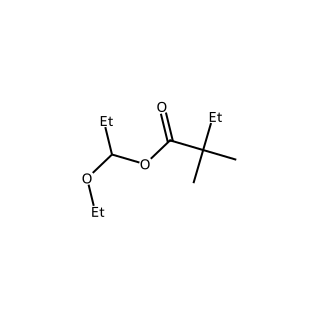 CCOC(CC)OC(=O)C(C)(C)CC